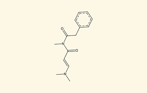 CN(C)C=CC(=O)N(C)C(=O)Cc1ccccc1